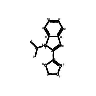 CC(C)[SH]1C(C2=NOCO2)=Cc2ccccc21